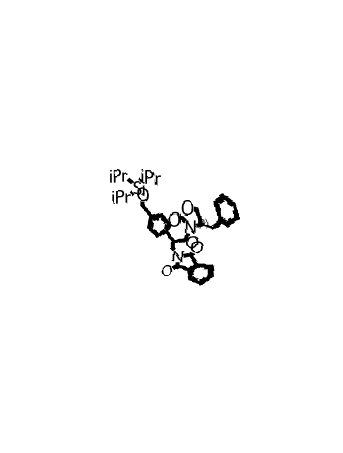 CC(C)[Si](OCc1ccc(C(CN2C(=O)c3ccccc3C2=O)C(=O)N2C(=O)OC[C@H]2Cc2ccccc2)cc1)(C(C)C)C(C)C